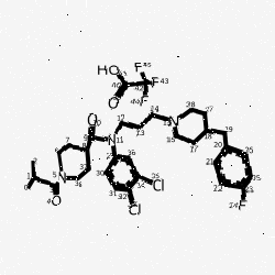 CC(C)C(=O)N1CCC(C(=O)N(CCCN2CCC(Cc3ccc(F)cc3)CC2)c2ccc(Cl)c(Cl)c2)CC1.O=C(O)C(F)(F)F